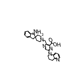 N[C@@H]1c2ccccc2CC12CCN(Cc1ncc(N3CCCc4ncccc43)nc1C(=O)O)CC2